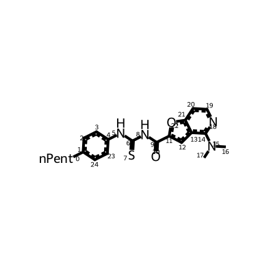 CCCCCc1ccc(NC(=S)NC(=O)c2cc3c(N(C)C)nccc3o2)cc1